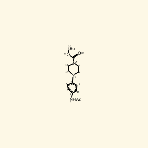 CC(=O)Nc1ccc(N2CCN(C(=O)OC(C)(C)C)CC2)cc1